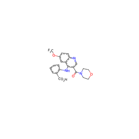 O=C(O)c1ccccc1Nc1c(C(=O)N2CCOCC2)cnc2ccc(OC(F)(F)F)cc12